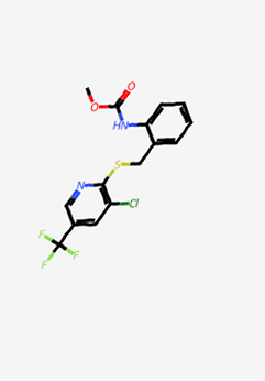 COC(=O)Nc1ccccc1CSc1ncc(C(F)(F)F)cc1Cl